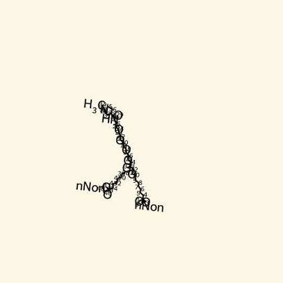 CCCCCCCCCOC(=O)CCCCCCCOCC(COCCOCCOCCOCCNC(=O)C1CCN(C)CC1)OCCCCCCCC(=O)OCCCCCCCCC